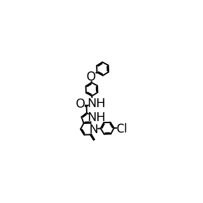 C=C1C=Cc2cc(C(=O)Nc3ccc(Oc4ccccc4)cc3)[nH]c2N1c1ccc(Cl)cc1